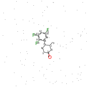 CC1CC(=O)CCC1c1cc(F)cc(F)c1F